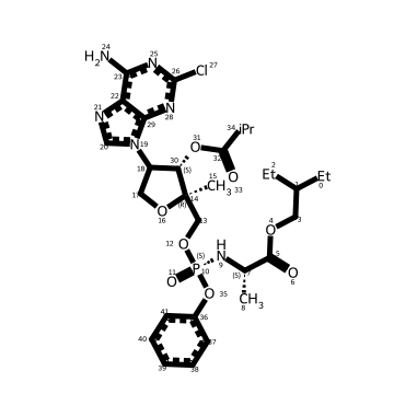 CCC(CC)COC(=O)[C@H](C)N[P@](=O)(OC[C@@]1(C)OCC(n2cnc3c(N)nc(Cl)nc32)[C@@H]1OC(=O)C(C)C)Oc1ccccc1